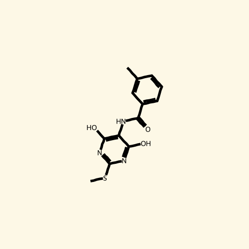 CSc1nc(O)c(NC(=O)c2cccc(C)c2)c(O)n1